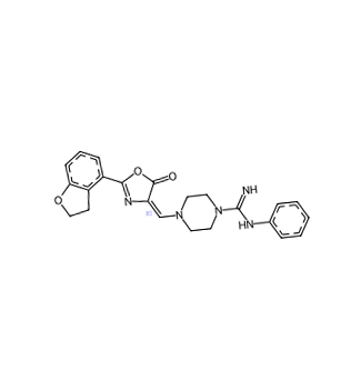 N=C(Nc1ccccc1)N1CCN(/C=C2/N=C(c3cccc4c3CCO4)OC2=O)CC1